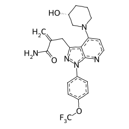 C=C(Cc1nn(-c2ccc(OC(F)(F)F)cc2)c2nccc(N3CCC[C@@H](O)C3)c12)C(N)=O